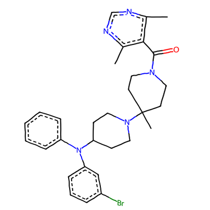 Cc1ncnc(C)c1C(=O)N1CCC(C)(N2CCC(N(c3ccccc3)c3cccc(Br)c3)CC2)CC1